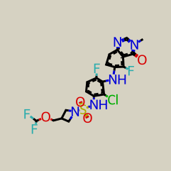 Cn1cnc2ccc(Nc3c(F)ccc(NS(=O)(=O)N4CC(COC(F)F)C4)c3Cl)c(F)c2c1=O